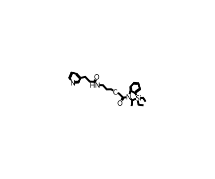 CC[Si]1(CC)c2ccccc2N(C(=O)CCCCCNC(=O)CCc2cccnc2)C1C